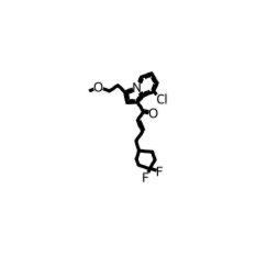 COCCc1cc(C(=O)/C=C/CC2CCC(F)(F)CC2)c2c(Cl)cccn12